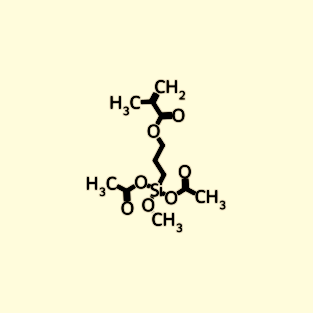 C=C(C)C(=O)OCCC[Si](OC)(OC(C)=O)OC(C)=O